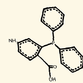 N.O=C(O)c1ccccc1P(c1ccccc1)c1ccccc1